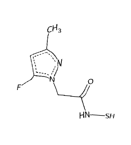 Cc1cc(F)n(CC(=O)NS)n1